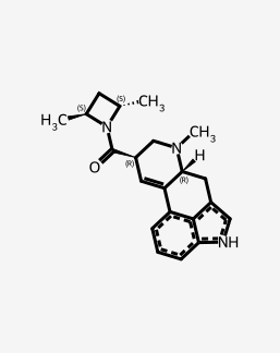 C[C@H]1C[C@H](C)N1C(=O)[C@@H]1C=C2c3cccc4[nH]cc(c34)C[C@H]2N(C)C1